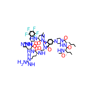 CCCC[C@H](NC(=O)[C@@H](NC(C)=O)[C@@H](C)CC)C(=O)N1CCN(c2ccc3ncn(CC(=O)N[C@@H](CCCNC(=N)N)C(=O)N[C@@H](Cc4cnc[nH]4)C(=O)N[C@@H](Cc4c(F)c(F)c(F)c(F)c4F)C(=O)N[C@@H](CC(C)C)C(=O)NC)c(=O)c3c2)CC1